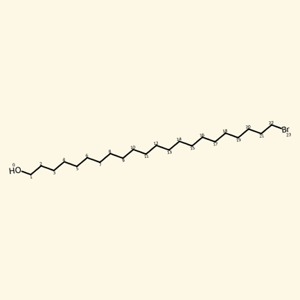 OCCCCCCCCCCCCCCCCCCCCCCBr